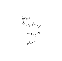 CCCCCOc1cccc(CC(C)C)c1